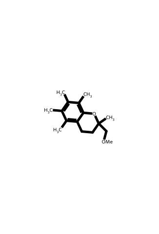 COCC1(C)CCc2c(C)c(C)c(C)c(C)c2O1